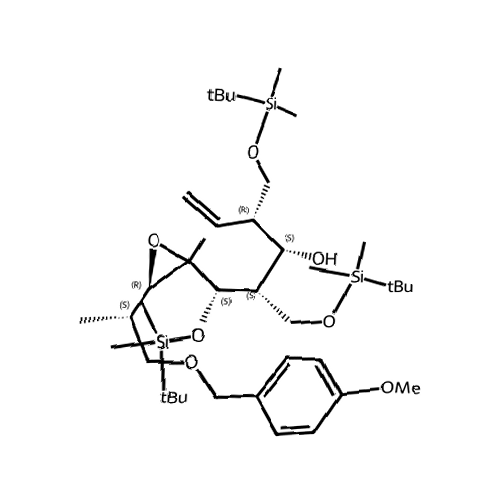 C=C[C@H](CO[Si](C)(C)C(C)(C)C)[C@H](O)[C@H](CO[Si](C)(C)C(C)(C)C)[C@H](O[Si](C)(C)C(C)(C)C)C1(C)O[C@@H]1[C@@H](C)COCc1ccc(OC)cc1